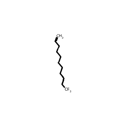 C=CCCCCCCCCC(F)(F)F